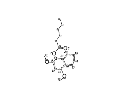 CCCCCC(=O)Oc1c(OC)cc(OC)c2ccccc12